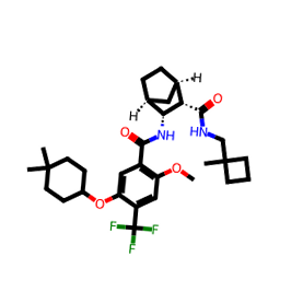 COc1cc(C(F)(F)F)c(OC2CCC(C)(C)CC2)cc1C(=O)N[C@@H]1[C@H]2CC[C@H](C2)[C@@H]1C(=O)NCC1(C)CCC1